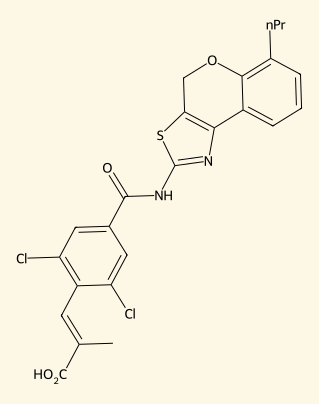 CCCc1cccc2c1OCc1sc(NC(=O)c3cc(Cl)c(/C=C(\C)C(=O)O)c(Cl)c3)nc1-2